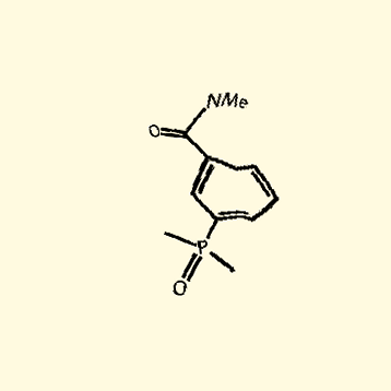 CNC(=O)c1cccc(P(C)(C)=O)c1